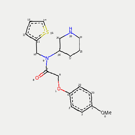 COc1ccc(OCC(=O)N(Cc2cccs2)C2CCCNC2)cc1